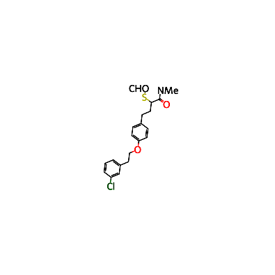 CNC(=O)C(CCc1ccc(OCCc2cccc(Cl)c2)cc1)SC=O